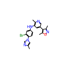 Cc1cn(-c2ccc(Nc3cc(-c4c(C)noc4C)cnc3C)cc2Br)cn1